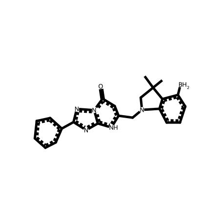 Bc1cccc2c1C(C)(C)CN2Cc1cc(=O)n2nc(-c3ccccc3)nc2[nH]1